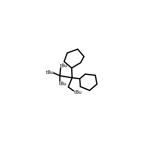 CC(C)(C)CC(C1CCCCC1)(C1CCCCC1)C(C(C)(C)C)(C(C)(C)C)C(C)(C)C